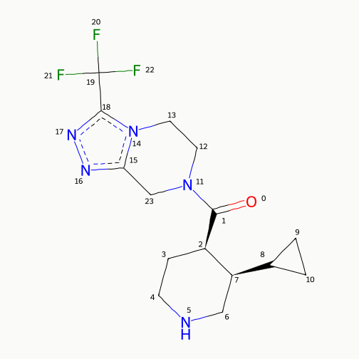 O=C([C@@H]1CCNC[C@@H]1C1CC1)N1CCn2c(nnc2C(F)(F)F)C1